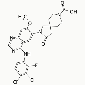 COc1cc2ncnc(Nc3ccc(Cl)c(Cl)c3F)c2cc1N1CC2(CCN(C(=O)O)CC2)CC1=O